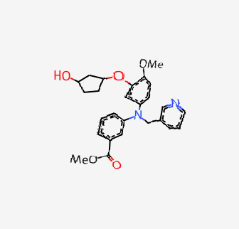 COC(=O)c1cccc(N(Cc2cccnc2)c2ccc(OC)c(OC3CCC(O)C3)c2)c1